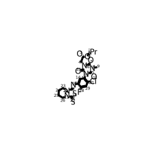 CC(C)OC(=O)Cn1c(=O)n(C)c(=O)n(-c2cc(N=c3sc(=S)n4n3CCCC4)c(F)cc2Cl)c1=O